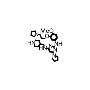 COc1ccc(Nc2nc(NCC3CCNCC3)cc(N3CCCC3)n2)cc1OCCCN1CCCC1